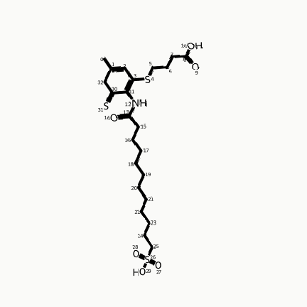 CC1=CC(SCCCC(=O)O)=C(NC(=O)CCCCCCCCCCCS(=O)(=O)O)C(=S)C1